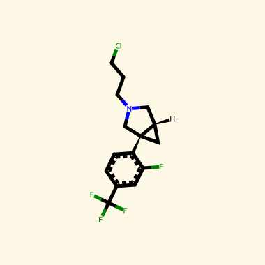 Fc1cc(C(F)(F)F)ccc1[C@]12C[C@H]1CN(CCCCl)C2